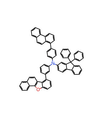 c1ccc(C2(c3ccccc3)c3ccccc3-c3ccc(N(c4ccc(-c5cccc6c5ccc5ccccc56)cc4)c4cccc(-c5cccc6oc7c8ccccc8ccc7c56)c4)cc32)cc1